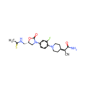 CC(=S)NC[C@H]1CN(c2ccc(N3CCC(=C(C#N)C(N)=O)CC3)c(F)c2)C(=O)O1